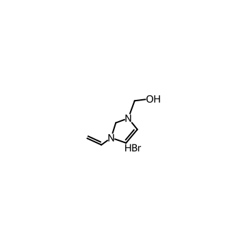 Br.C=CN1C=CN(CO)C1